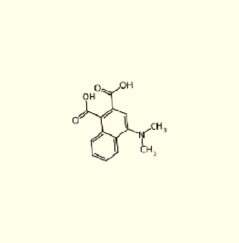 CN(C)c1cc(C(=O)O)c(C(=O)O)c2ccccc12